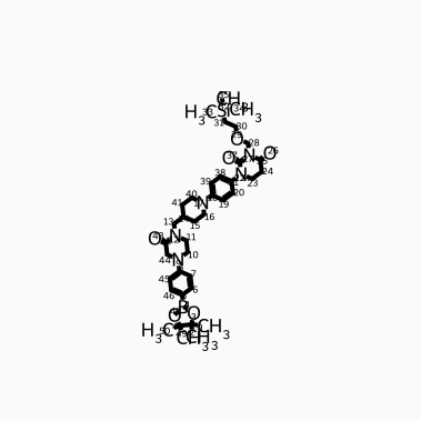 CC1(C)OB(c2ccc(N3CCN(CC4CCN(c5ccc(N6CCC(=O)N(COCC[Si](C)(C)C)C6=O)cc5)CC4)C(=O)C3)cc2)OC1(C)C